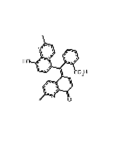 Cc1ccc2c(n1)C(=O)C=C/C2=C(\c1ccccc1C(=O)O)c1ccc(O)c2nc(C)ccc12